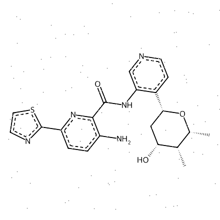 C[C@@H]1[C@H](O)C[C@H](c2ccncc2NC(=O)c2nc(-c3nccs3)ccc2N)O[C@@H]1C